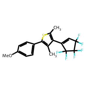 COc1ccc(-c2sc(C)c(C3=CC(F)(F)C(F)(F)C3(F)F)c2C)cc1